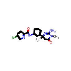 CN1C(=O)CC(C)(c2cccc(NC(=O)c3ccc(Br)cn3)c2)N=C1N